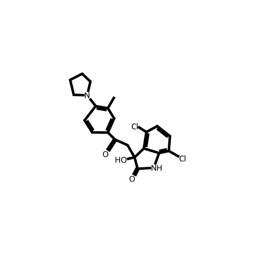 Cc1cc(C(=O)CC2(O)C(=O)Nc3c(Cl)ccc(Cl)c32)ccc1N1CCCC1